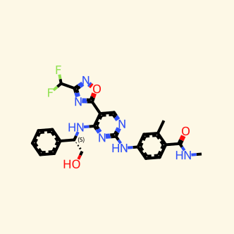 CNC(=O)c1ccc(Nc2ncc(-c3nc(C(F)F)no3)c(N[C@H](CO)c3ccccc3)n2)cc1C